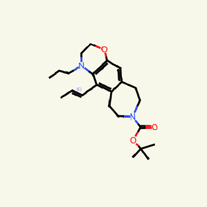 C/C=C/c1c2c(cc3c1N(CCC)CCO3)CCN(C(=O)OC(C)(C)C)CC2